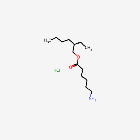 CCCCC(CC)COC(=O)CCCCCN.Cl